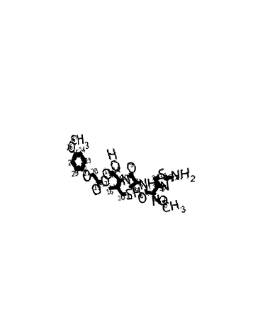 CO/N=C(/C(=O)NC1C(=O)N2C(C(=O)O)=C(COC(=O)COc3ccc(OC)cc3)CS[C@H]12)c1csc(N)n1